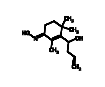 C=CCC(O)C1=C(C)C(=NO)CCC1(C)C